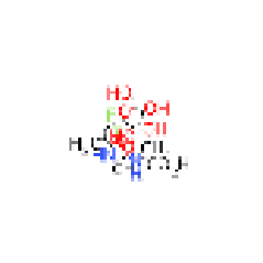 CC(CC(F)(F)[C@@H]1O[C@H](CO)[C@H](O)[C@H](O)[C@H]1O)C(=O)N[C@@H](C)C(=O)N[C@@H](C)C(=O)O